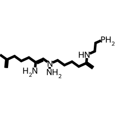 C=C(C)CCC/C(N)=C/N(N)CCCCC(=C)NCCP